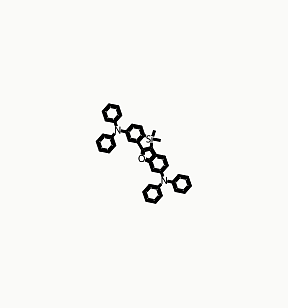 C[Si]1(C)c2ccc(N(c3ccccc3)c3ccccc3)cc2-c2oc3cc(N(c4ccccc4)c4ccccc4)ccc3c21